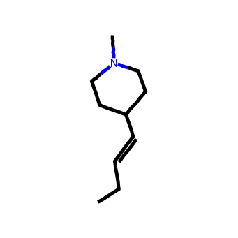 CC/C=C/C1CCN(C)CC1